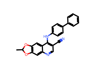 CC1Oc2cc3ncc(C#N)c(Nc4ccc(-c5ccccc5)cc4)c3cc2O1